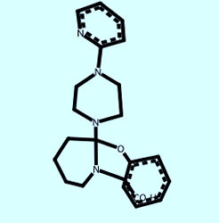 O=C(O)CN1CCCCC1(Oc1ccccc1)N1CCN(c2ccccn2)CC1